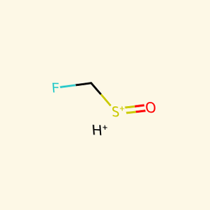 O=[S+]CF.[H+]